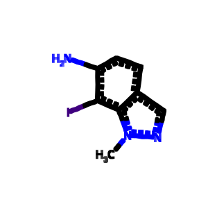 Cn1ncc2ccc(N)c(I)c21